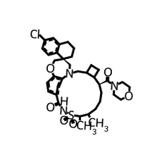 CC1CCC[C@H](C(=O)N2CCOCC2)C2CCC2CN2C[C@@]3(CCCc4cc(Cl)ccc43)COc3ccc(cc32)C(=O)NS(=O)(=O)C1C